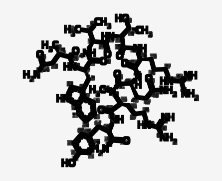 CC(C)[C@H](NC(=O)[C@H](Cc1c[nH]c2ccccc12)NC(=O)[C@@H](C)CC(N)=O)C(=O)N[C@H](C(=O)N[C@@H](CCCNC(=N)N)C(=O)N[C@@H](CCC(N)=O)C(=O)N(C)[C@@H](CCCNC(=N)N)C(=O)NC(Cc1ccc(O)cc1)C(N)=O)[C@@H](C)O